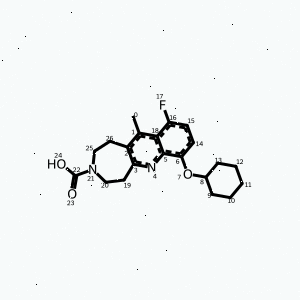 Cc1c2c(nc3c(OC4CCCCC4)ccc(F)c13)CCN(C(=O)O)CC2